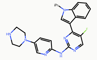 CC(C)n1cc(-c2nc(Nc3ccc(N4CCNCC4)cn3)ncc2F)c2ccccc21